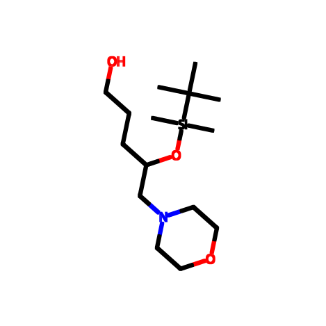 CC(C)(C)[Si](C)(C)OC(CCCO)CN1CCOCC1